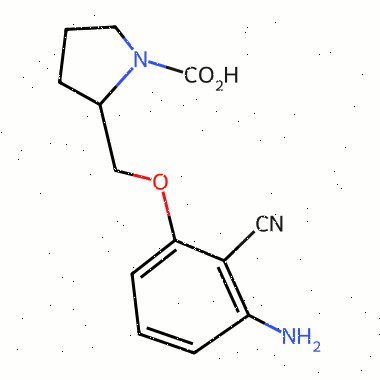 N#Cc1c(N)cccc1OCC1CCCN1C(=O)O